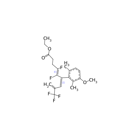 C=C(/C=C(\C(F)=C(/F)CCC(=O)OCC)c1c(C)ccc(OC)c1C)C(F)(F)F